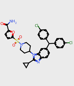 NC(=O)c1ccc(S(=O)(=O)N2CCC(n3c(C4CC4)nc4ccc(C(c5ccc(Cl)cc5)c5ccc(Cl)cc5)cc43)CC2)o1